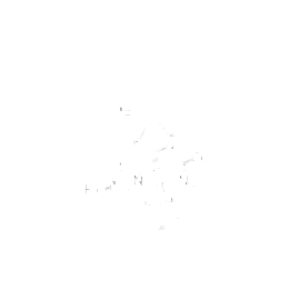 CN(C(=O)c1ccc(F)cc1)[C@H](CN1CC(O)C1)C1CCC1